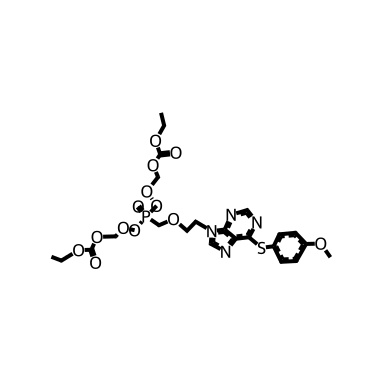 CCOC(=O)OCOOP(=O)(COCCn1cnc2c(Sc3ccc(OC)cc3)ncnc21)OOCOC(=O)OCC